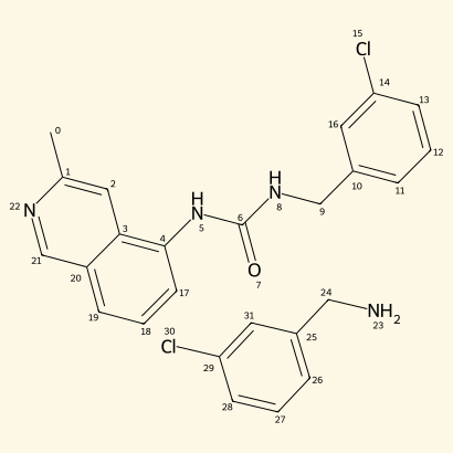 Cc1cc2c(NC(=O)NCc3cccc(Cl)c3)cccc2cn1.NCc1cccc(Cl)c1